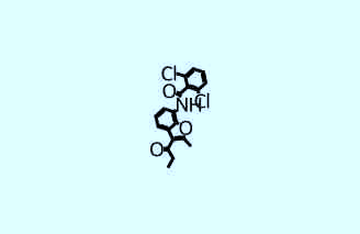 CCC(=O)c1c(C)oc2c(NC(=O)c3c(Cl)cccc3Cl)cccc12